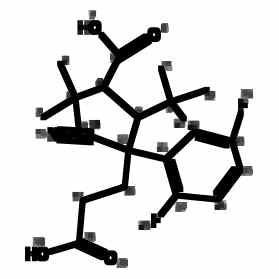 CC(C)(C)C(C(=O)O)C(C(C)(C)C)C(C#N)(CCC(=O)O)c1cc(F)ccc1F